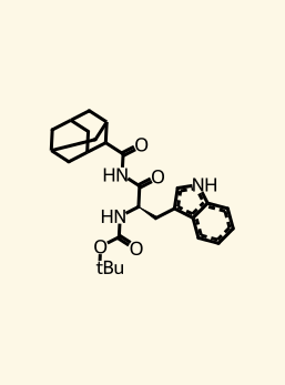 CC(C)(C)OC(=O)N[C@H](Cc1c[nH]c2ccccc12)C(=O)NC(=O)C1C2CC3CC(C2)CC1C3